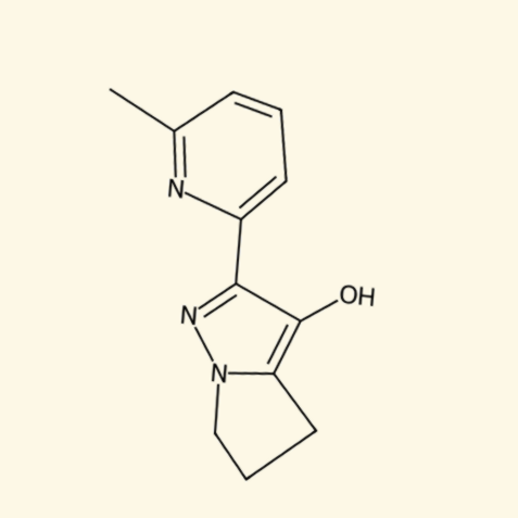 Cc1cccc(-c2nn3c(c2O)CCC3)n1